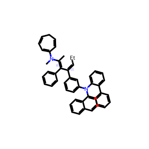 CC/C=C(\C(=C(/C)N(C)C1=CC=CCC=C1)c1ccccc1)c1cccc(N(c2ccccc2-c2ccccc2)c2cccc3ccccc23)c1